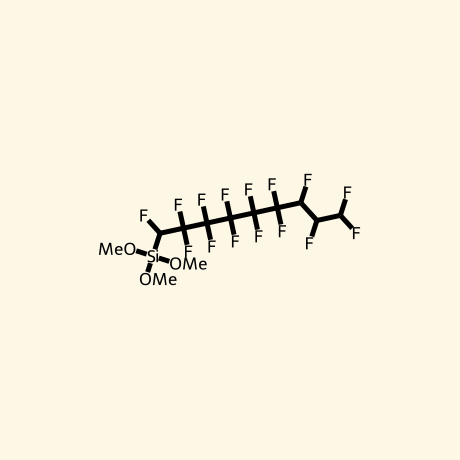 CO[Si](OC)(OC)C(F)C(F)(F)C(F)(F)C(F)(F)C(F)(F)C(F)(F)C(F)C(F)C(F)F